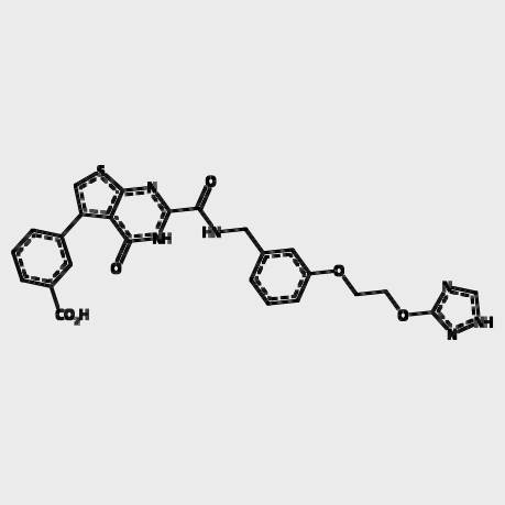 O=C(O)c1cccc(-c2csc3nc(C(=O)NCc4cccc(OCCOc5nc[nH]n5)c4)[nH]c(=O)c23)c1